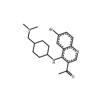 CC(=O)c1cnc2ccc(Br)cc2c1NC1CCC(CN(C)C)CC1